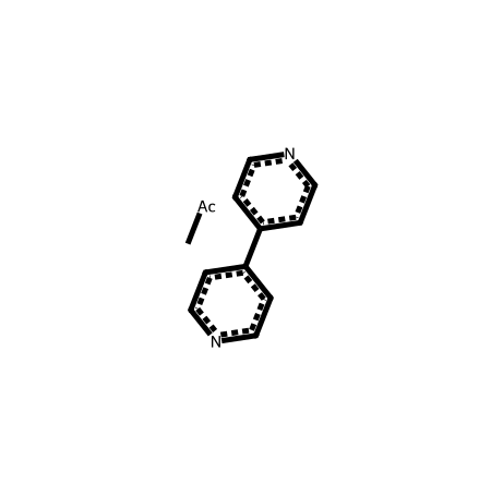 CC(C)=O.c1cc(-c2ccncc2)ccn1